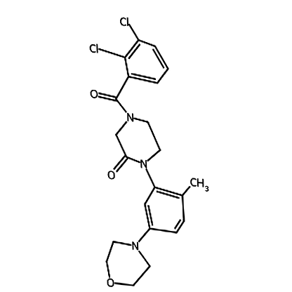 Cc1ccc(N2CCOCC2)cc1N1CCN(C(=O)c2cccc(Cl)c2Cl)CC1=O